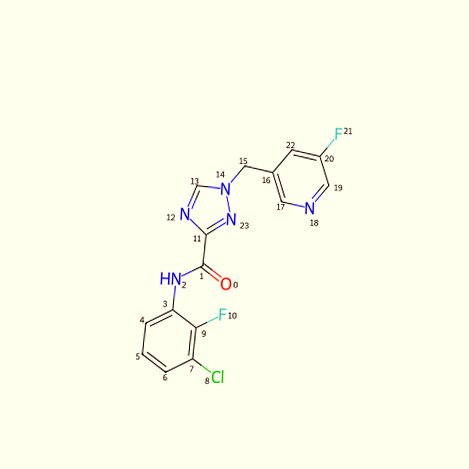 O=C(Nc1cccc(Cl)c1F)c1ncn(Cc2cncc(F)c2)n1